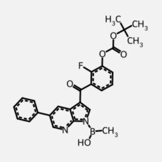 CB(O)n1cc(C(=O)c2cccc(OC(=O)OC(C)(C)C)c2F)c2cc(-c3ccccc3)cnc21